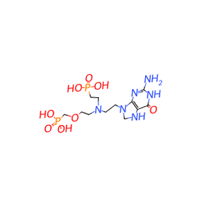 Nc1nc2c(c(=O)[nH]1)NCN2CCN(CCOCP(=O)(O)O)CCP(=O)(O)O